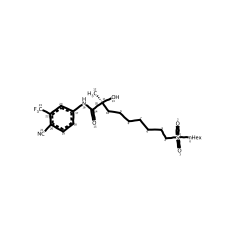 CCCCCCS(=O)(=O)CCCCCCC[C@](C)(O)C(=O)Nc1ccc(C#N)c(C(F)(F)F)c1